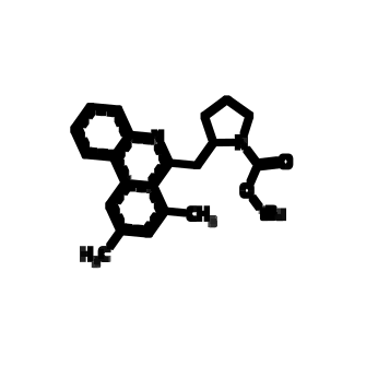 Cc1cc(C)c2c(CC3CCCN3C(=O)OC(C)(C)C)nc3ccccc3c2c1